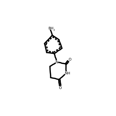 Bc1ccc(N2CCC(=O)NC2=O)cc1